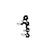 C=CC1=c2/c(=C/c3cnc([C@@H]4CCCN4C)[nH]3)ccn2-c2ccccc2O1